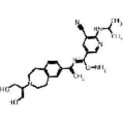 C=C(/N=C(\ON)c1cnc(NC(C)C)c(C#N)c1)c1ccc2c(c1)CCN(C(CO)CO)CC2